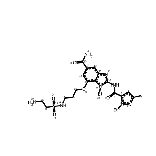 CCn1nc(C)cc1C(=O)Nc1nc2cc(C(N)=O)cc(OCCCNS(=O)(=O)CCN)c2n1CC